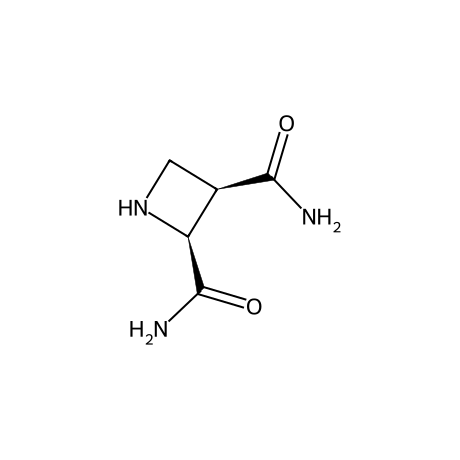 NC(=O)[C@H]1NC[C@H]1C(N)=O